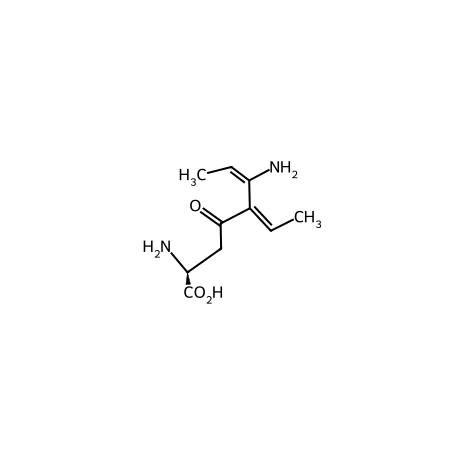 C/C=C(N)\C(=C/C)C(=O)C[C@H](N)C(=O)O